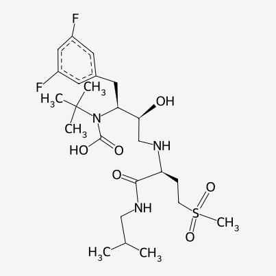 CC(C)CNC(=O)[C@H](CCS(C)(=O)=O)NC[C@H](O)[C@H](Cc1cc(F)cc(F)c1)N(C(=O)O)C(C)(C)C